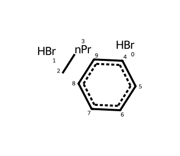 Br.Br.CCCC.c1ccccc1